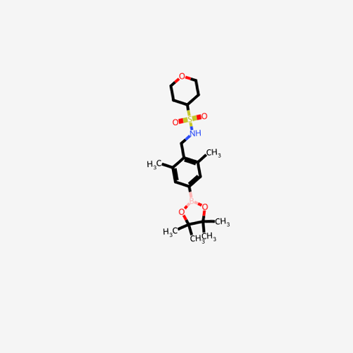 Cc1cc(B2OC(C)(C)C(C)(C)O2)cc(C)c1CNS(=O)(=O)C1CCOCC1